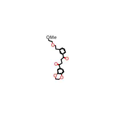 COCCOCCc1cccc(C(=O)CCC(=O)c2ccc3c(c2)OCCO3)c1